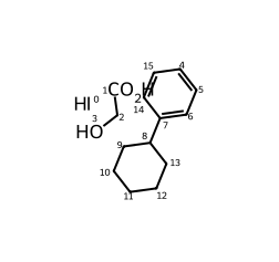 I.O=C(O)CO.c1ccc(C2CCCCC2)cc1